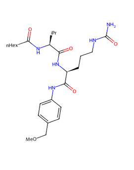 CCCCCCC(=O)N[C@H](C(=O)N[C@@H](CCCNC(N)=O)C(=O)Nc1ccc(COC)cc1)C(C)C